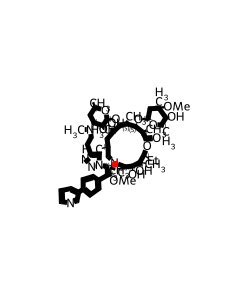 CC[C@H]1OC(=O)[C@H](C)[C@@H](O[C@H]2C[C@@](C)(OC)[C@@H](O)[C@H](C)O2)[C@H](C)[C@@H](O[C@@H]2O[C@H](C)C[C@H](N(C)CCc3cn([C@H](CF)[C@H](OC)c4ccc(-c5cccnc5)cc4)nn3)[C@H]2O)[C@](C)(O)C[C@@H](C)CN(C)[C@H](C)[C@@H](O)[C@]1(C)O